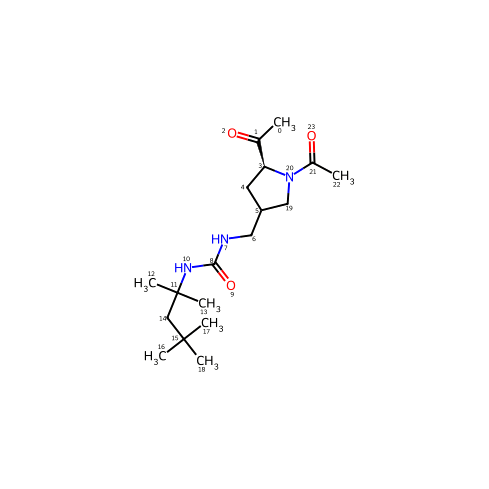 CC(=O)[C@@H]1CC(CNC(=O)NC(C)(C)CC(C)(C)C)CN1C(C)=O